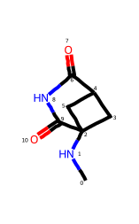 CNC12CC(C1)C(=O)NC2=O